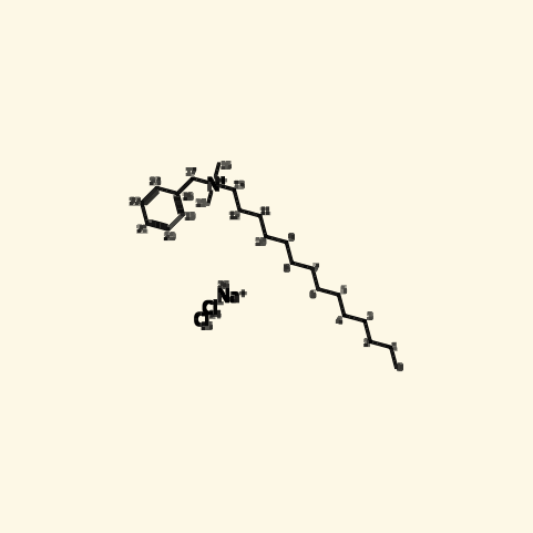 CCCCCCCCCCCCCC[N+](C)(C)Cc1ccccc1.[Cl-].[Cl-].[Na+]